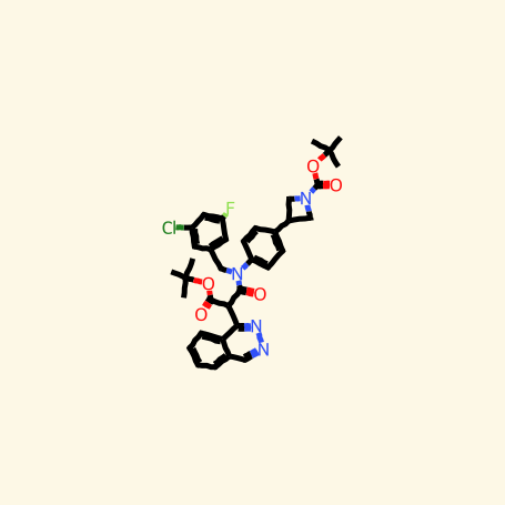 CC(C)(C)OC(=O)C(C(=O)N(Cc1cc(F)cc(Cl)c1)c1ccc(C2CN(C(=O)OC(C)(C)C)C2)cc1)c1nncc2ccccc12